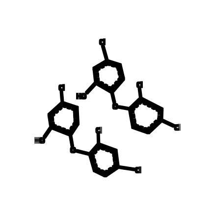 Oc1cc(Cl)ccc1Oc1ccc(Cl)cc1Cl.Oc1cc(Cl)ccc1Oc1ccc(Cl)cc1Cl